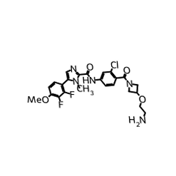 COc1ccc(-c2cnc(C(=O)Nc3ccc(C(=O)N4CC(OCCN)C4)c(Cl)c3)n2C)c(F)c1F